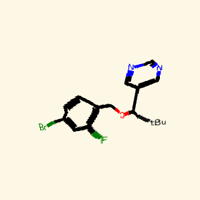 CC(C)(C)C(OCc1ccc(Br)cc1F)c1cncnc1